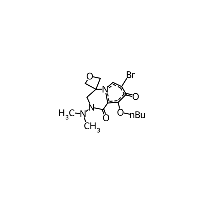 CCCCOc1c2n(cc(Br)c1=O)C1(COC1)CN(N(C)C)C2=O